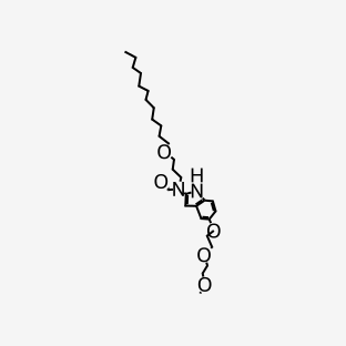 CCCCCCCCCCCCOCCCN(C=O)c1cc2cc(OCCOCCOC)ccc2[nH]1